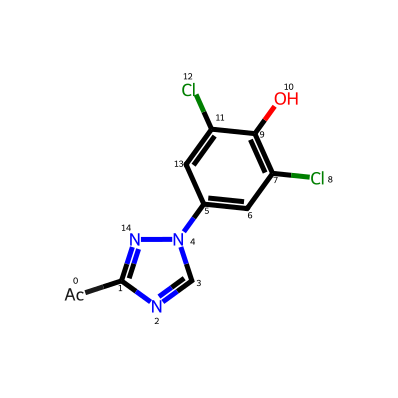 CC(=O)c1ncn(-c2cc(Cl)c(O)c(Cl)c2)n1